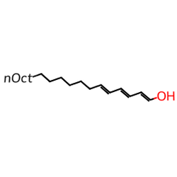 CCCCCCCCCCCCCCC=CC=CC=CO